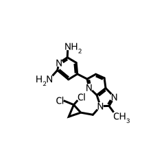 Cc1nc2ccc(-c3cc(N)nc(N)c3)nc2n1CC1CC1(Cl)Cl